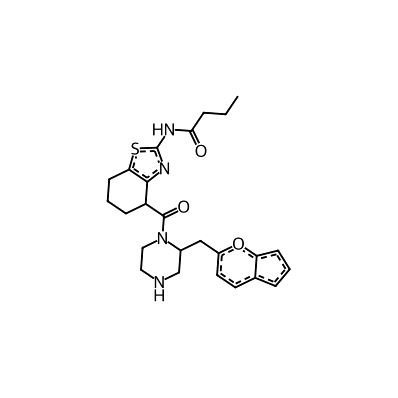 CCCC(=O)Nc1nc2c(s1)CCCC2C(=O)N1CCNCC1Cc1ccc2cccc-2o1